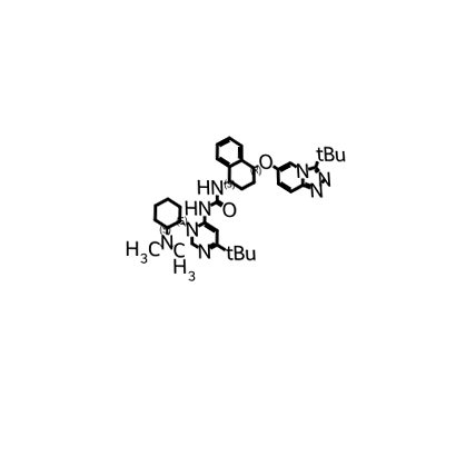 CN(C)[C@H]1CCCC[C@@H]1N1CN=C(C(C)(C)C)C=C1NC(=O)N[C@H]1CC[C@@H](Oc2ccc3nnc(C(C)(C)C)n3c2)c2ccccc21